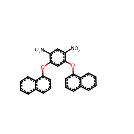 O=[N+]([O-])c1cc([N+](=O)[O-])c(Oc2cccc3ccccc23)cc1Oc1cccc2ccccc12